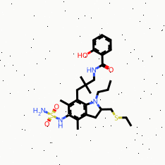 CCCN1c2c(c(C)c(NS(N)(=O)=O)c(C)c2CC(C)(C)CNC(=O)c2ccccc2O)CC1CSCC